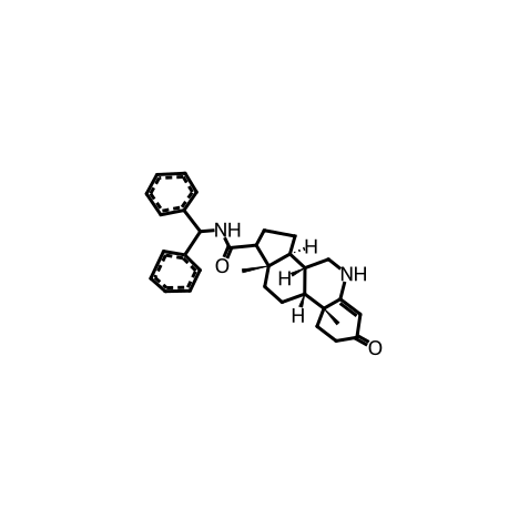 C[C@]12CCC(=O)C=C1NC[C@@H]1[C@H]2CC[C@]2(C)C(C(=O)NC(c3ccccc3)c3ccccc3)CC[C@@H]12